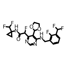 O=C(NC1(C(F)F)CC1)C(F)c1ncnc(NCc2cccc(C(F)F)c2F)c1C1OCCO1